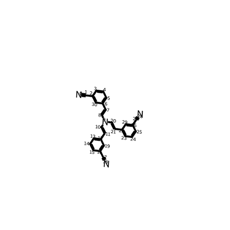 N#Cc1cccc(C=CN(C=Cc2cccc(C#N)c2)C=Cc2cccc(C#N)c2)c1